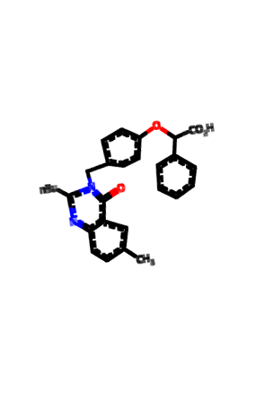 CCCCc1nc2ccc(C)cc2c(=O)n1Cc1ccc(OC(C(=O)O)c2ccccc2)cc1